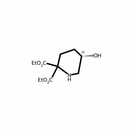 CCOC(=O)C1(C(=O)OCC)CC[C@H](O)CN1